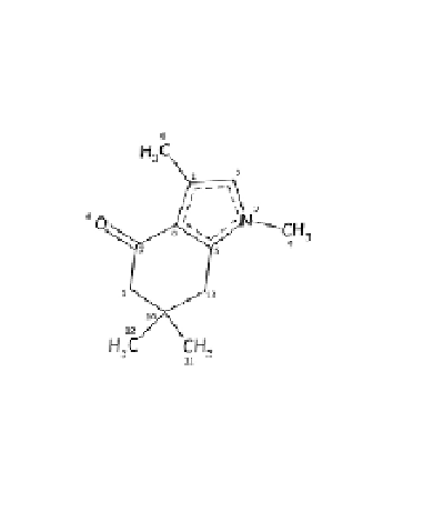 Cc1cn(C)c2c1C(=O)CC(C)(C)C2